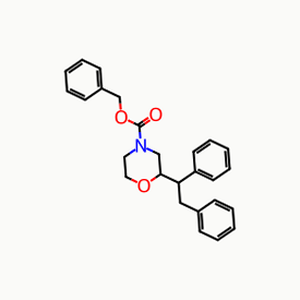 O=C(OCc1ccccc1)N1CCOC(C(Cc2ccccc2)c2ccccc2)C1